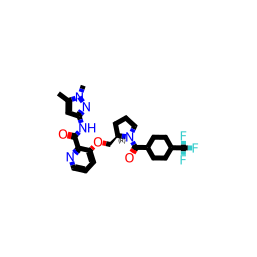 Cc1cc(NC(=O)c2ncccc2OC[C@H]2CCCN2C(=O)C2CCC(C(F)(F)F)CC2)nn1C